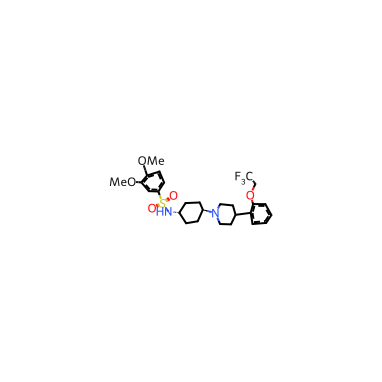 COc1ccc(S(=O)(=O)N[C@H]2CC[C@H](N3CCC(c4ccccc4OCC(F)(F)F)CC3)CC2)cc1OC